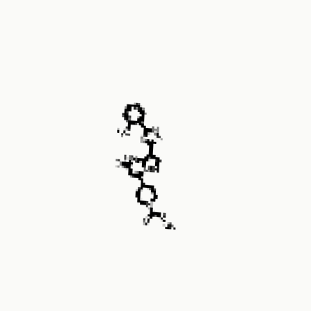 CC(C)(C)OC(=O)N1CCC(c2cc(=O)[nH]c3c(-c4nc(-c5ccccc5C(F)(F)F)no4)cnn23)CC1